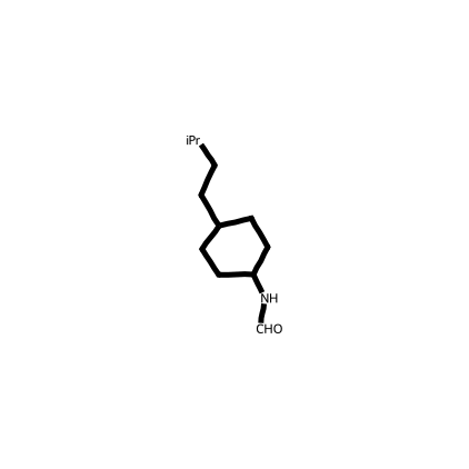 CC(C)CCC1CCC(NC=O)CC1